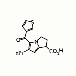 CCCc1cc2n(c1C(=O)c1ccsc1)CCC2C(=O)O